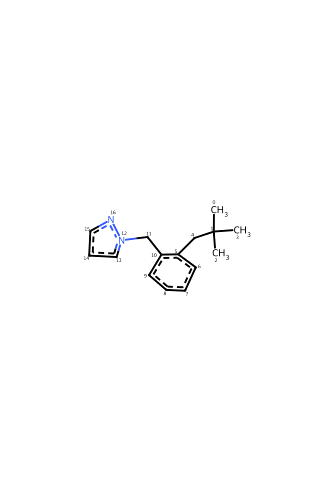 CC(C)(C)Cc1ccccc1Cn1cccn1